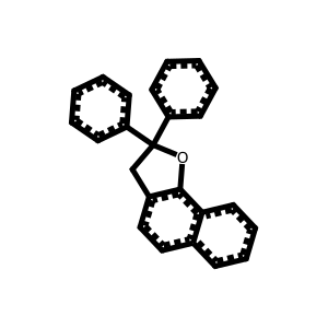 c1ccc(C2(c3ccccc3)Cc3ccc4ccccc4c3O2)cc1